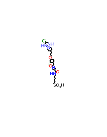 O=C(NCCCCCCS(=O)(=O)O)C1CN(C(=O)Cc2ccc(OCCCC3CCN(C4NCC(Cl)CN4)CC3)cc2F)C1